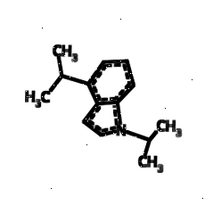 CC(C)c1cccc2c1ccn2C(C)C